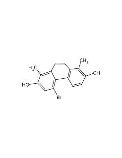 Cc1c(O)ccc2c1CCc1c(C)c(O)cc(Br)c1-2